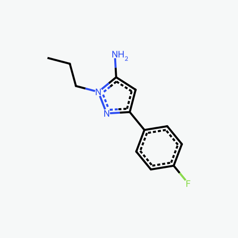 CCCn1nc(-c2ccc(F)cc2)cc1N